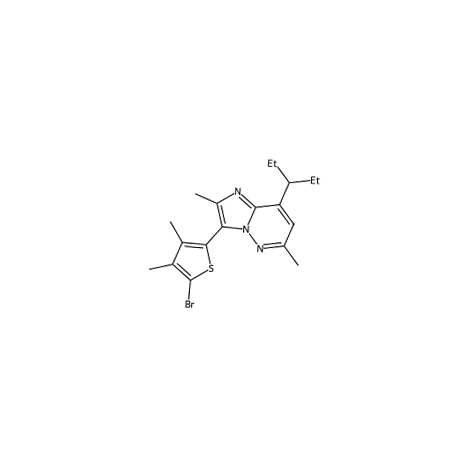 CCC(CC)c1cc(C)nn2c(-c3sc(Br)c(C)c3C)c(C)nc12